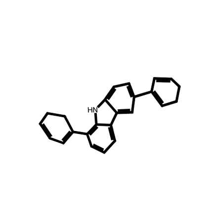 C1=CCCC(c2cccc3c2[nH]c2ccc(C4=CCCC=C4)cc23)=C1